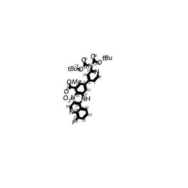 COC(=O)c1cc(-c2ccnc(N(C(=O)OC(C)(C)C)C(=O)OC(C)(C)C)c2)cc(Nc2ccnc3c(F)cccc23)c1[N+](=O)[O-]